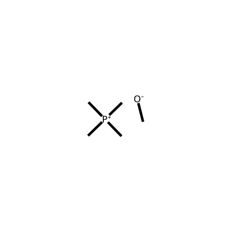 C[O-].C[P+](C)(C)C